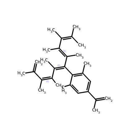 C=C(C)\C(C)=C(C)/C(C)=C(/C(C)=C(\C)C(C)=C(C)C)c1c(C)cc(C(=C)C)cc1C